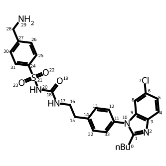 CCCCc1nc2ccc(Cl)cc2n1-c1ccc(CCNC(=O)NS(=O)(=O)c2ccc(CN)cc2)cc1